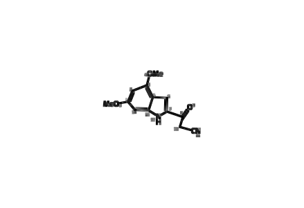 COc1cc(OC)c2cc(C(=O)CC#N)[nH]c2c1